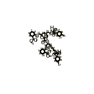 COC(=O)c1ccccc1OCC(CNCCNS(=O)(=O)c1ccc(C)cc1)OC(=O)C(=O)OC(CNCCNS(=O)(=O)c1ccc(C)cc1)COc1ccccc1C(=O)OC